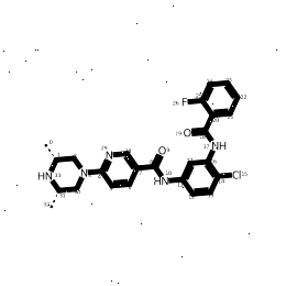 C[C@@H]1CN(c2ccc(C(=O)Nc3ccc(Cl)c(NC(=O)c4ccccc4F)c3)cn2)C[C@H](C)N1